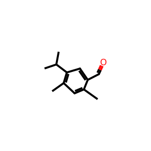 Cc1cc(C)c(C(C)C)cc1C=O